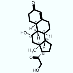 C[C@]12C[C@H](O)[C@H]3[C@@H](CCC4=CC(=O)CC[C@@H]43)[C@@H]1CC[C@@H]2C(=O)CO